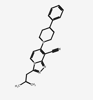 CC(C)Cc1nnc2c(C#N)c(N3CCC(c4ccccc4)CC3)ccn12